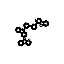 c1cc(-c2cccc(-n3c4ccccc4c4cc(-n5c6ccccc6c6cccnc65)ccc43)c2)cc(-c2nccc3c2oc2ccccc23)c1